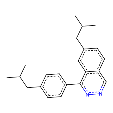 CC(C)Cc1ccc(-c2nncc3ccc(CC(C)C)cc23)cc1